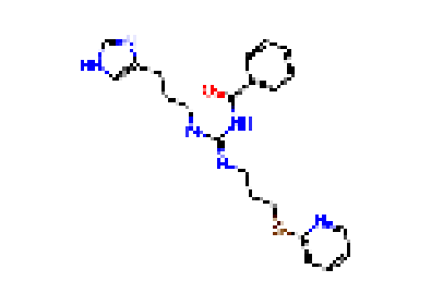 O=C(NC(=NCCCSc1ccccn1)NCCCc1c[nH]cn1)c1ccccc1